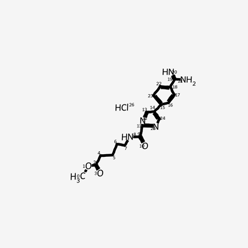 COC(=O)CCCCNC(=O)c1ncc(-c2ccc(C(=N)N)cc2)cn1.Cl